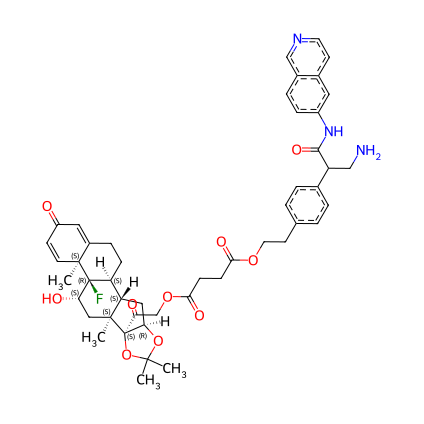 CC1(C)O[C@@H]2C[C@H]3[C@@H]4CCC5=CC(=O)C=C[C@]5(C)[C@@]4(F)[C@@H](O)C[C@]3(C)[C@]2(C(=O)COC(=O)CCC(=O)OCCc2ccc(C(CN)C(=O)Nc3ccc4cnccc4c3)cc2)O1